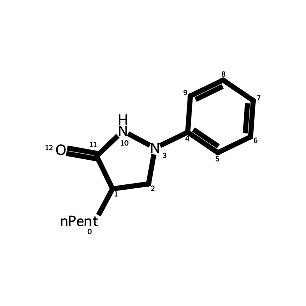 CCCCCC1CN(c2ccccc2)NC1=O